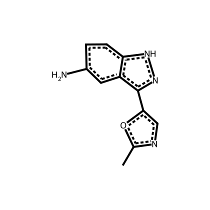 Cc1ncc(-c2n[nH]c3ccc(N)cc23)o1